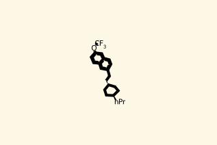 CCC[C@H]1CC[C@H](CCc2ccc3cc(OC(F)(F)F)ccc3c2)CC1